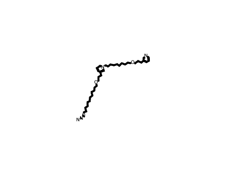 [N-]=[N+]=NCCCCCCCCCCCCOCCCc1ccc[n+](CCCCCCCCCCOCCCc2cccnc2)c1